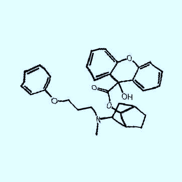 CN(CCCOc1ccccc1)C1CC2CCC1C2OC(=O)C1(O)c2ccccc2Oc2ccccc21